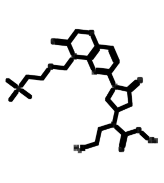 CC(C)(C)OC(=O)N(CCN)C1CC(=O)N(c2ccc3c(n2)N(COCC[Si](C)(C)C)C(=O)CO3)C1